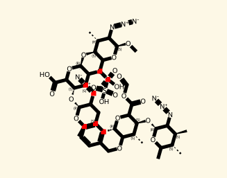 CO[C@H]1OC(COS(=O)(=O)O)[C@@H](O[C@@H]2OC(C(=O)O)[C@@H](O[C@H]3OC(C)[C@@H](O[C@@H]4OC(C(=O)OC=O)[C@@H](O[C@H]5OC(C)[C@@H](C)[C@H](C)C5N=[N+]=[N-])[C@H](C)C4OCc4ccccc4)CC3N=[N+]=[N-])[C@H](C)C2OS(=O)(=O)O)[C@H](C)C1N=[N+]=[N-]